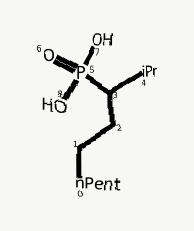 CCCCCCCC(C(C)C)P(=O)(O)O